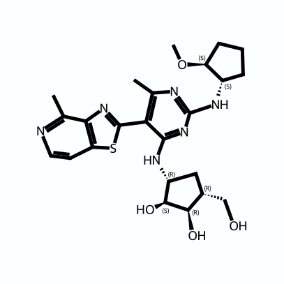 CO[C@H]1CCC[C@@H]1Nc1nc(C)c(-c2nc3c(C)nccc3s2)c(N[C@@H]2C[C@H](CO)[C@@H](O)[C@H]2O)n1